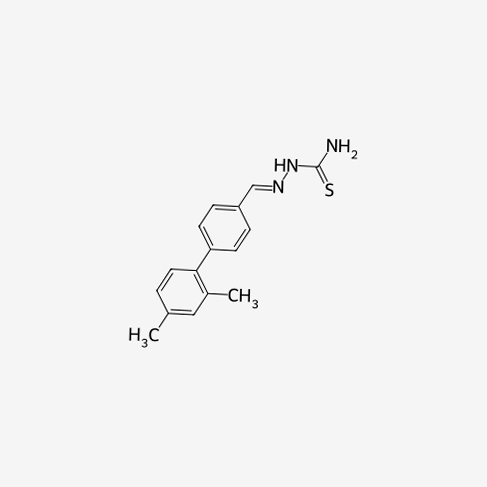 Cc1ccc(-c2ccc(C=NNC(N)=S)cc2)c(C)c1